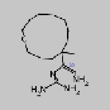 CC1(/C(=C/N)N=C(N)N)CCCCCCCCCCC1